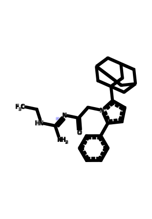 N/C(=N\C(=O)Cn1c(-c2ccccc2)ccc1C12CC3CC(CC(C3)C1)C2)NCC(F)(F)F